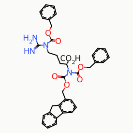 N=C(N)N(CCC[C@@H](C(=O)O)N(C(=O)OCc1ccccc1)C(=O)OCc1cccc2c1Cc1ccccc1-2)C(=O)OCc1ccccc1